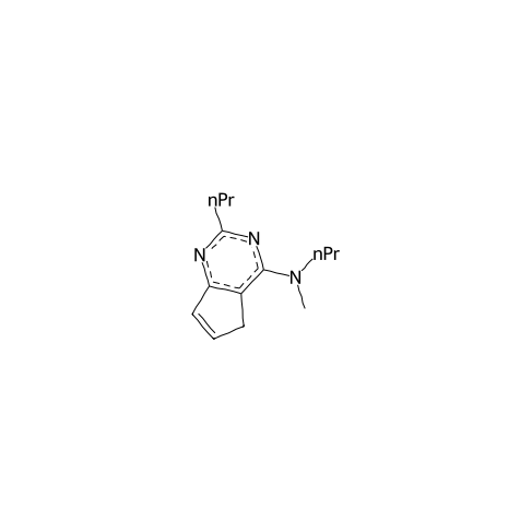 CCCc1nc2c(c(N(C)CCC)n1)CC=C2